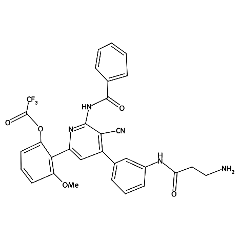 COc1cccc(OC(=O)C(F)(F)F)c1-c1cc(-c2cccc(NC(=O)CCN)c2)c(C#N)c(NC(=O)c2ccccc2)n1